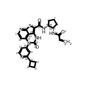 C=CC(=O)N[C@H]1CCC[C@H]1NC(=O)c1sc2nccc3c2c1NC(=O)N3c1ccnc(C2CCC2)c1